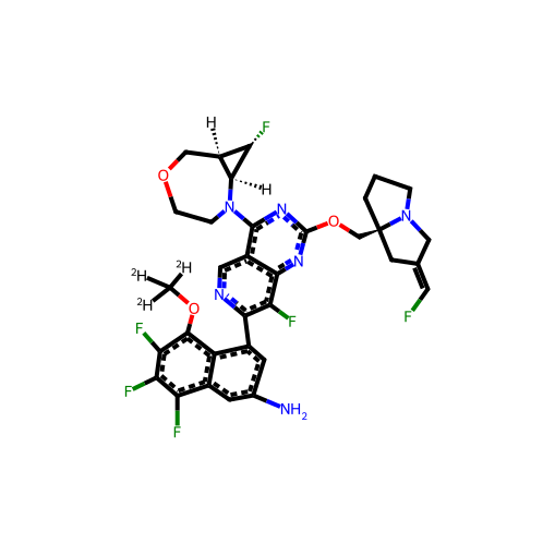 [2H]C([2H])([2H])Oc1c(F)c(F)c(F)c2cc(N)cc(-c3ncc4c(N5CCOC[C@H]6[C@H](F)[C@H]65)nc(OC[C@@]56CCCN5C/C(=C/F)C6)nc4c3F)c12